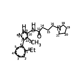 CCc1ccccc1-c1n[nH]c(NC(=O)CCCN2CCCC2)c1C